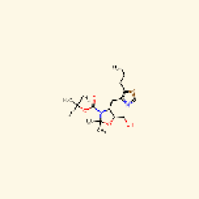 CCCc1scnc1C[C@H]1[C@@H](CO)OC(C)(C)N1C(=O)OC(C)(C)C